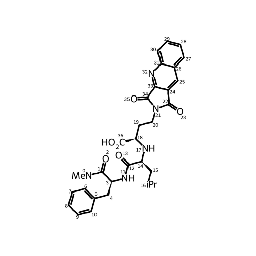 CNC(=O)[C@H](Cc1ccccc1)NC(=O)[C@H](CC(C)C)N[C@H](CCN1C(=O)c2cc3ccccc3nc2C1=O)C(=O)O